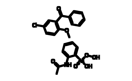 CC(=O)Nc1ccccc1[As](=O)(O)OO.COc1ccc(Cl)cc1C(=O)c1ccccc1